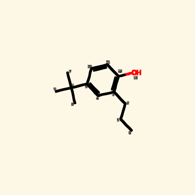 CCCc1cc(C(C)(C)C)ccc1O